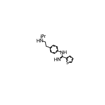 CC(C)NCCc1ccc(NC(=N)c2cccs2)cc1